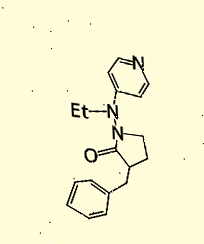 CCN(c1ccncc1)N1CCC(Cc2ccccc2)C1=O